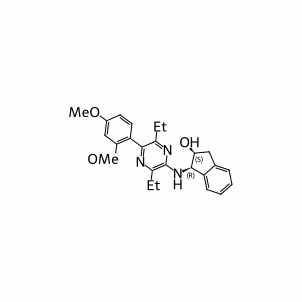 CCc1nc(-c2ccc(OC)cc2OC)c(CC)nc1N[C@@H]1c2ccccc2C[C@@H]1O